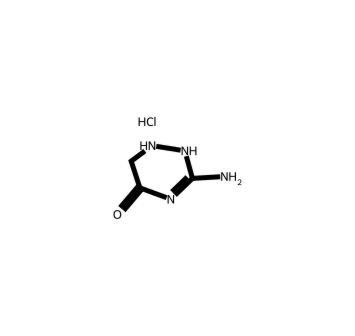 Cl.NC1=NC(=O)CNN1